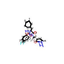 O=C(NC(CC1CCCCC1)C(=O)NC(C[C@@H]1CCNC1=O)C(=O)O)OC1CCC(F)(F)CC1